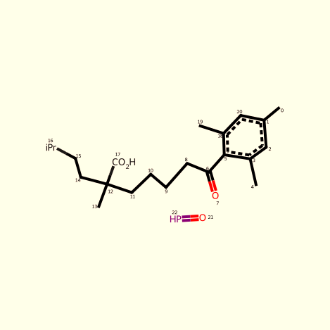 Cc1cc(C)c(C(=O)CCCCC(C)(CCC(C)C)C(=O)O)c(C)c1.O=P